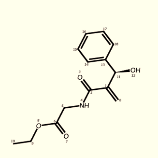 C=C(C(=O)NCC(=O)OCC)[C@H](O)c1ccccc1